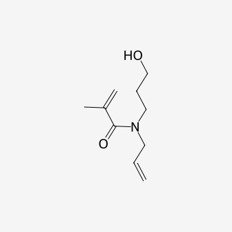 C=CCN(CCCO)C(=O)C(=C)C